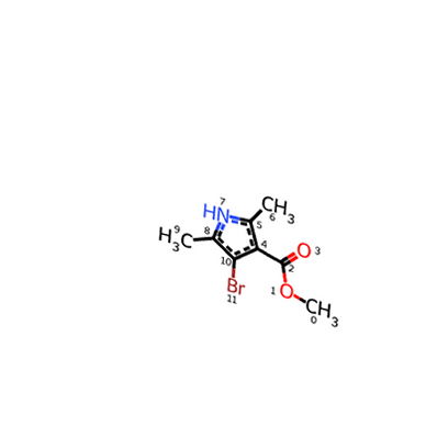 COC(=O)c1c(C)[nH]c(C)c1Br